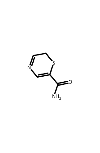 NC(=O)C1=CN=CCS1